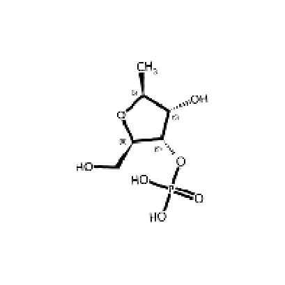 C[C@@H]1O[C@H](CO)[C@@H](OP(=O)(O)O)[C@H]1O